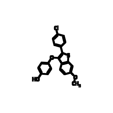 COc1ccc2c(Oc3ccc(O)cc3)c(-c3ccc(Cl)cc3)sc2c1